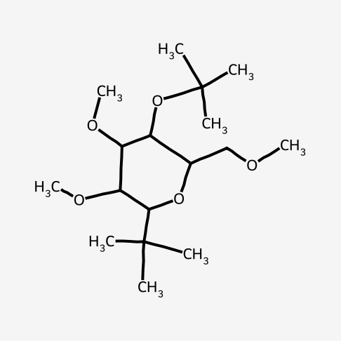 COCC1OC(C(C)(C)C)C(OC)C(OC)C1OC(C)(C)C